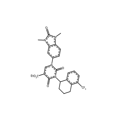 CCOC(=O)c1cn(-c2ccc3c(c2)n(C)c(=O)n3C)c(=O)n(C2CCCc3c2cccc3C(F)(F)F)c1=O